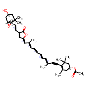 CC(=O)O[C@@H]1CC(C)=C(C#C/C(C)=C/C=C/C=C/C=C(C)/C=C2C=C(/C=C/[C@@]34O[C@]3(C)C[C@@H](O)CC4(C)C)C(=O)O/2)C(C)(C)C1